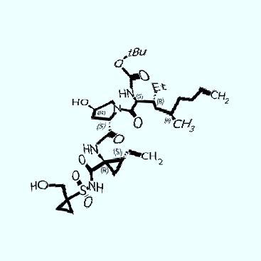 C=CCC[C@@H](C)C[C@@H](CC)[C@H](NC(=O)OC(C)(C)C)C(=O)N1C[C@H](O)C[C@H]1C(=O)N[C@]1(C(=O)NS(=O)(=O)C2(CO)CC2)C[C@H]1C=C